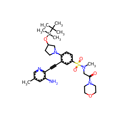 Cc1cnc(C#Cc2cc(S(=O)(=O)N(C)CC(=O)N3CCOCC3)ccc2N2CCC(O[Si](C)(C)C(C)(C)C)C2)c(N)c1